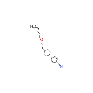 C=CCCCOCCC[C@H]1CC[C@H](c2ccc(C#N)cc2)CC1